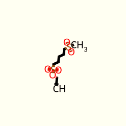 C#CCOS(=O)(=O)CCCCCS(C)(=O)=O